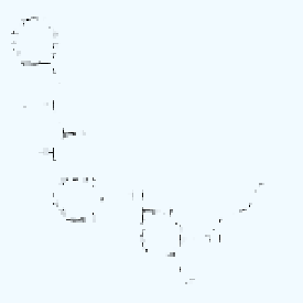 NC(Cc1ccccc1)C(=O)Nc1cccc(Nc2ncc(Br)c(NCCCO)n2)c1